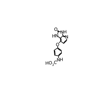 O=C(O)Nc1ccc(Oc2ccnc3[nH]c(=O)[nH]c23)cc1